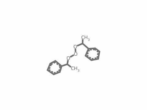 CC(OOOC(C)c1ccccc1)c1ccccc1